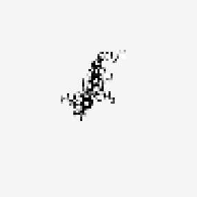 Cc1nc(N[C@H](C)c2cccc(C(F)F)c2F)c2cc(OC3CN(C(=O)O)C3)c(=O)[nH]c2n1